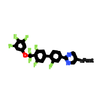 CCCCCc1cnc(-c2ccc(-c3cc(F)c(C(F)(F)Oc4cc(F)c(F)c(F)c4)c(F)c3)c(F)c2)nc1